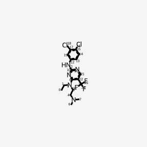 CCN(CCN(C)C)c1nc(Nc2ccc(Cl)c(Cl)c2)ncc1C(F)(F)F